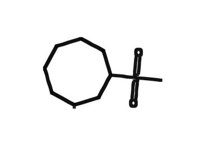 CS(=O)(=O)C1C[CH]CCCCC1